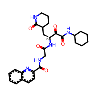 O=C(CNC(=O)c1ccc2ccccc2n1)N[C@@H](CC1CCCNC1=O)C(=O)C(=O)NC1CCCCC1